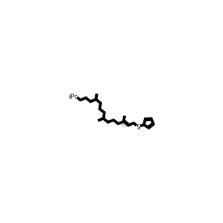 C/C(=C\CSC1C=CC=C1)CCCC(C)CCCC(C)CCCC(C)C